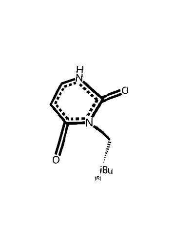 CC[C@@H](C)Cn1c(=O)cc[nH]c1=O